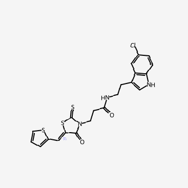 O=C(CCN1C(=O)/C(=C/c2cccs2)SC1=S)NCCc1c[nH]c2ccc(Cl)cc12